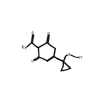 CCSC1(C2CC(=O)C(C(=O)CC)C(=O)C2)CC1